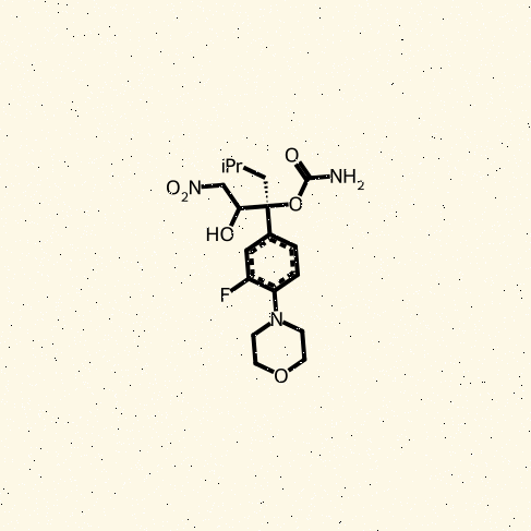 CC(C)C[C@](OC(N)=O)(c1ccc(N2CCOCC2)c(F)c1)C(O)C[N+](=O)[O-]